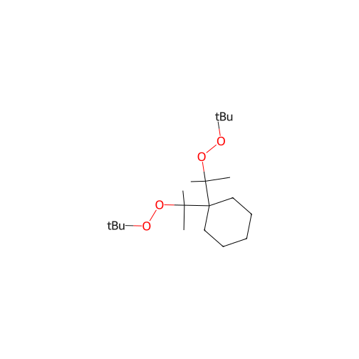 CC(C)(C)OOC(C)(C)C1(C(C)(C)OOC(C)(C)C)CCCCC1